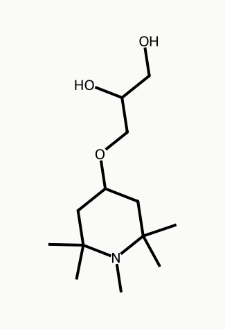 CN1C(C)(C)CC(OCC(O)CO)CC1(C)C